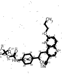 CCCOc1ccc2ncc(C#N)c(CC(O)C34CCC(NC(=O)OC(C)(C)C)(CC3)CO4)c2n1